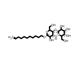 C=CCCCCCCCCCO[C@@H]1OC(CO)[C@@H](O[C@H]2OC(CO)[C@@H](O)[C@H](O)C2O)[C@H](O)C1O